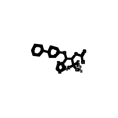 CC(C)(C)C(OC(=O)Cl)C(Oc1ccc(-c2ccccc2)cc1)n1cncn1